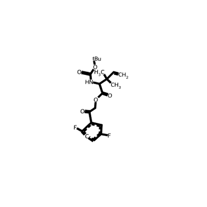 C=CC(C)(C)C(NC(=O)OC(C)(C)C)C(=O)OCC(=O)c1cc(F)ccc1F